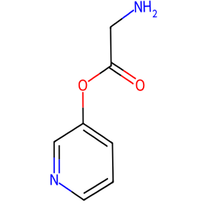 NCC(=O)Oc1cccnc1